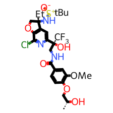 CC[C@]1(N[S+]([O-])C(C)(C)C)COc2c1cc([C@@](O)(CNC(=O)c1ccc(OC[C@@H](C)O)c(OC)c1)C(F)(F)F)nc2Cl